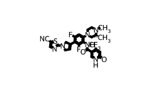 C[C@H]1CN(c2cc(F)c(C3=CCN(c4ncc(C#N)s4)C3)c(F)c2NC(=O)c2c[nH]c(=O)cc2C(F)(F)F)CCN1C